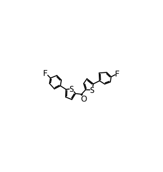 O=C(c1ccc(-c2ccc(F)cc2)s1)c1ccc(-c2ccc(F)cc2)s1